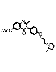 COc1ccc2nc(C)n(-c3ccc(OCCCN4CCC[C@H]4C)cc3)c(=O)c2c1